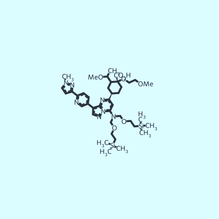 COCCO[C@]1(C(=O)O)CC[C@@H](c2cc(N(COCC[Si](C)(C)C)COCC[Si](C)(C)C)n3ncc(-c4ccc(-c5ccn(C)n5)nc4)c3n2)CC1C(C)OC